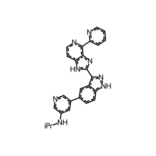 CC(C)Nc1cncc(-c2ccc3[nH]nc(-c4nc5c(-c6ccccn6)nccc5[nH]4)c3c2)c1